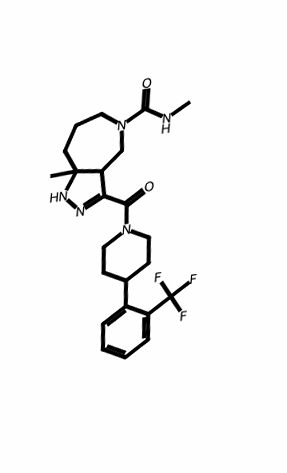 CNC(=O)N1CCCC2(C)NN=C(C(=O)N3CCC(c4ccccc4C(F)(F)F)CC3)C2C1